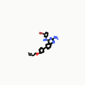 N#CCCOc1ccc(-c2ccc3nc(N)nc(Nc4cccc(Br)c4)c3c2)cc1